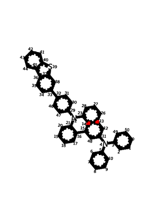 c1ccc(N(c2ccccc2)c2cccc(-c3ccccc3N(c3ccccc3)c3ccc(-c4ccc5c(c4)sc4ccccc45)cc3)c2)cc1